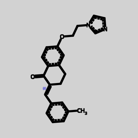 Cc1cccc(/C=C2\CCc3cc(OCCn4ccnc4)ccc3C2=O)c1